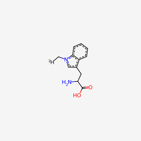 [2H]Cn1cc(CC(N)C(=O)O)c2ccccc21